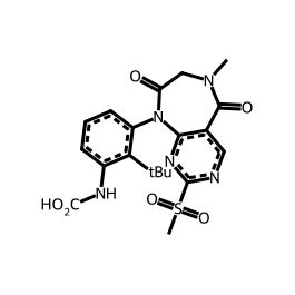 CN1CC(=O)N(c2cccc(NC(=O)O)c2C(C)(C)C)c2nc(S(C)(=O)=O)ncc2C1=O